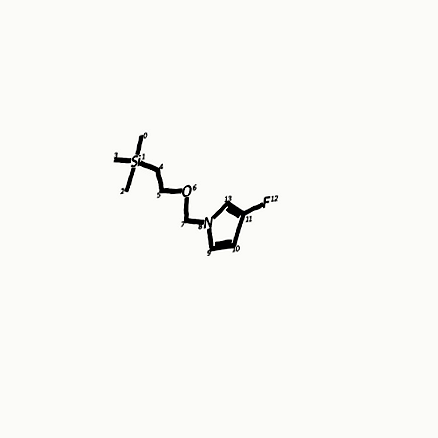 C[Si](C)(C)CCOCn1ccc(F)c1